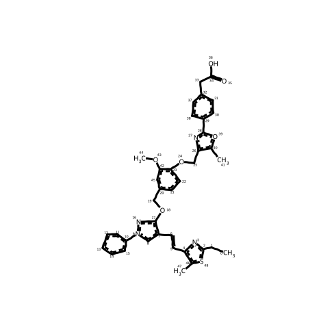 CCc1nc(C=Cc2cn(-c3ccccc3)nc2OCc2ccc(OCc3nc(-c4ccc(CC(=O)O)cc4)oc3C)c(OC)c2)c(C)s1